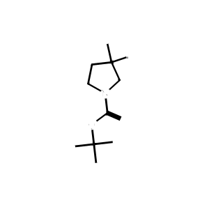 CC1(F)CCN(C(=O)OC(C)(C)C)C1